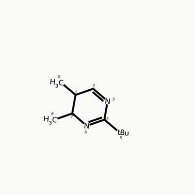 CC1C=NC(C(C)(C)C)=NC1C